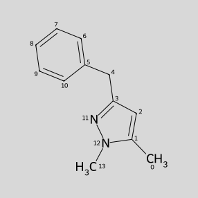 Cc1cc(Cc2ccccc2)nn1C